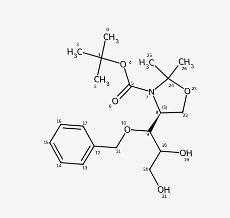 CC(C)(C)OC(=O)N1[C@H](C(OCc2ccccc2)C(O)CO)COC1(C)C